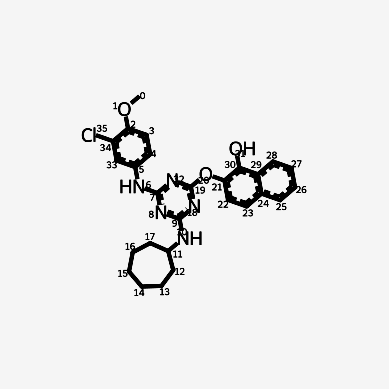 COc1ccc(Nc2nc(NC3CCCCCC3)nc(Oc3ccc4ccccc4c3O)n2)cc1Cl